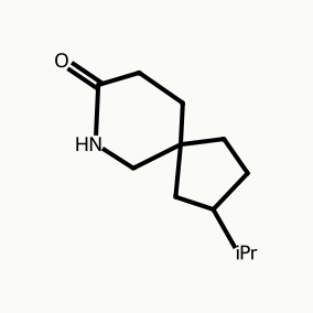 CC(C)C1CCC2(CCC(=O)NC2)C1